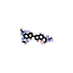 Cc1nc2c([nH]1)COc1c-2ccc2cc(-c3ccc4c(c3)c3nccnc3c3nc(C)[nH]c43)ccc12